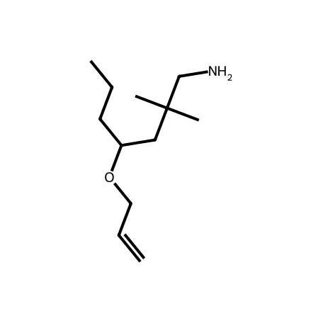 C=CCOC(CCC)CC(C)(C)CN